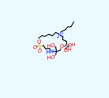 CCCCCC[N+](C)(CCCCC)CCC[Si](O)(O)OCC(CO)(CO)NCCCS(=O)(=O)[O-]